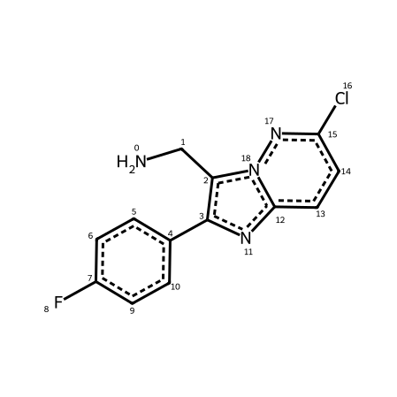 NCc1c(-c2ccc(F)cc2)nc2ccc(Cl)nn12